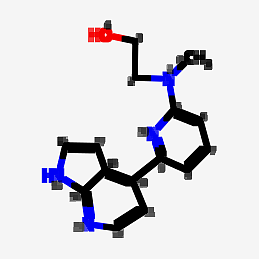 CN(CCO)c1cccc(-c2ccnc3[nH]ccc23)n1